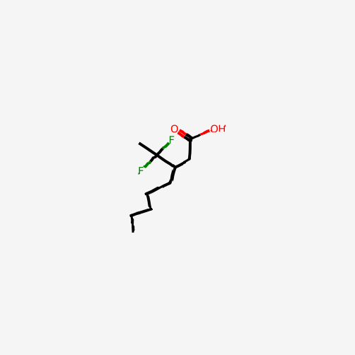 CCCCCC(CC(=O)O)C(C)(F)F